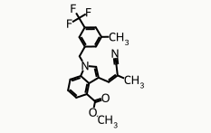 COC(=O)c1cccc2c1c(/C=C(/C)C#N)cn2Cc1cc(C)cc(C(F)(F)F)c1